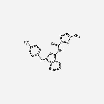 Cc1csc(C(=O)Nc2cn(Cc3ccc(C(F)(F)F)cc3)c3ccccc23)n1